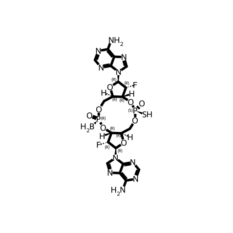 B[P@@]1(=O)OC[C@H]2O[C@@H](n3cnc4c(N)ncnc43)[C@H](F)[C@@H]2O[P@@](=O)(S)OC[C@H]2O[C@@H](n3cnc4c(N)ncnc43)[C@H](F)[C@@H]2O1